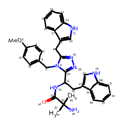 COc1ccc(Cn2c(Cc3c[nH]c4ccccc34)nnc2C(Cc2c[nH]c3ccccc23)NC(=O)C(C)(C)N)cc1